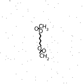 C=CC(=O)OCCCCCCOC(C)=O